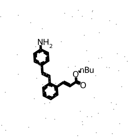 CCCCOC(=O)C=Cc1ccccc1C=Cc1ccc(N)cc1